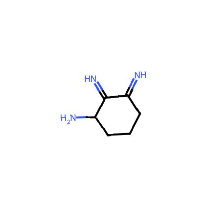 N=C1CCCC(N)C1=N